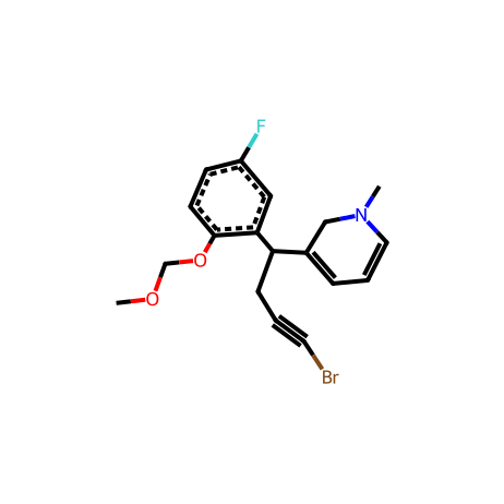 COCOc1ccc(F)cc1C(CC#CBr)C1=CC=CN(C)C1